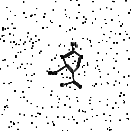 COc1nc(N)ncc1C(=O)Cl